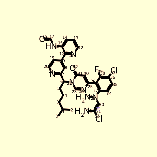 CC(C)CCCC(c1cc(-c2ncccc2NC=O)ccn1)n1cnc(-c2c(N(N)/C=C(\N)Cl)ccc(Cl)c2F)cc1=O